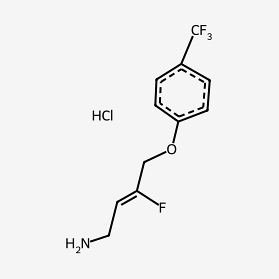 Cl.NCC=C(F)COc1ccc(C(F)(F)F)cc1